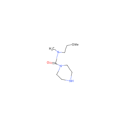 COCCN(C)C(=O)N1CCNCC1